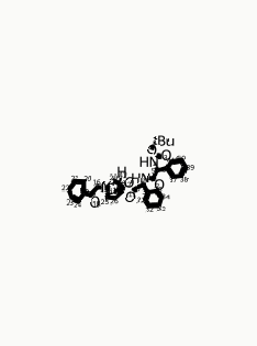 CC(C)(C)OC(=O)NC(C(=O)NC(C(=O)O[C@H]1C[N+]2(CC(=O)c3ccccc3)CCC1CC2)c1ccccc1)c1ccccc1